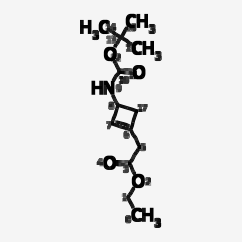 CCOC(=O)CC1=CC(NC(=O)OC(C)(C)C)C1